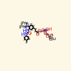 Cc1ccc(NC(=O)Nc2cc(CCC(=O)OCON(O)OCOC(=O)C(C)(C)C)ccc2N(CC(C)C)CC(C)C)cc1